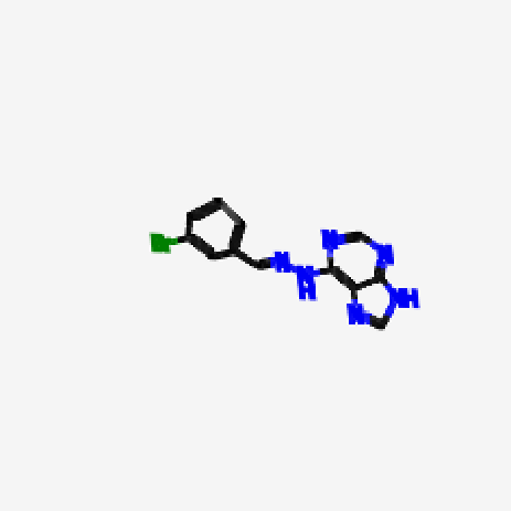 Brc1cccc(/C=N/Nc2ncnc3[nH]cnc23)c1